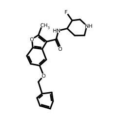 Cc1oc2ccc(OCc3ccccc3)cc2c1C(=O)NC1CCNCC1F